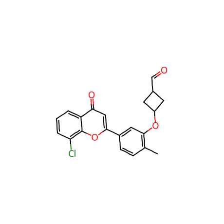 Cc1ccc(-c2cc(=O)c3cccc(Cl)c3o2)cc1OC1CC(C=O)C1